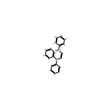 C(=C/P(c1ccccc1)c1ccccc1)/Pc1ccccc1